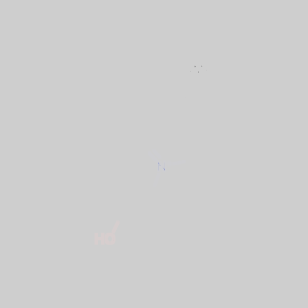 CSc1cc[n+](CCO)cc1